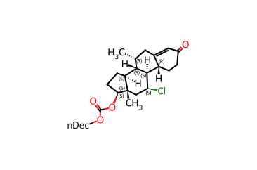 CCCCCCCCCCOC(=O)O[C@H]1CC[C@H]2[C@H]3[C@H]([C@@H](Cl)C[C@]12C)[C@H]1CCC(=O)C=C1C[C@H]3C